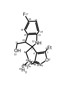 CCc1onc(C)c1C1(CN(C)C)Nc2ccc(F)cc2C1CO